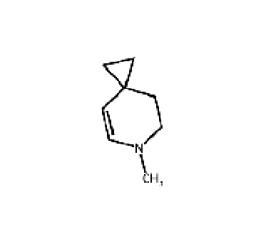 CN1C=CC2(CC1)CC2